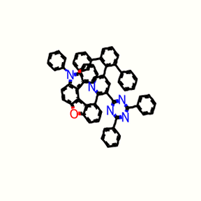 c1ccc(-c2nc(-c3ccccc3)nc(-c3cc(-c4c(-c5ccccc5)cccc4-c4ccccc4)cnc3-c3cccc4oc5ccc6c(c7ccccc7n6-c6ccccc6)c5c34)n2)cc1